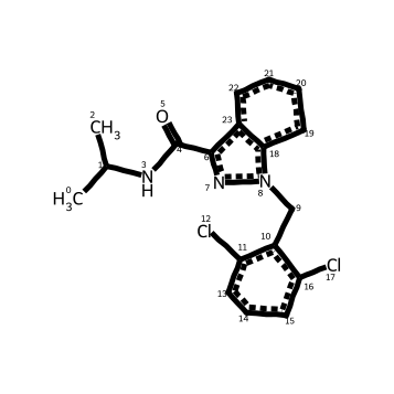 CC(C)NC(=O)c1nn(Cc2c(Cl)cccc2Cl)c2ccccc12